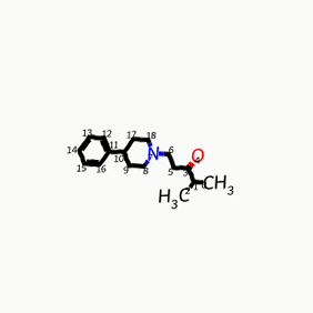 CC(C)C(=O)CCN1CCC(c2ccccc2)CC1